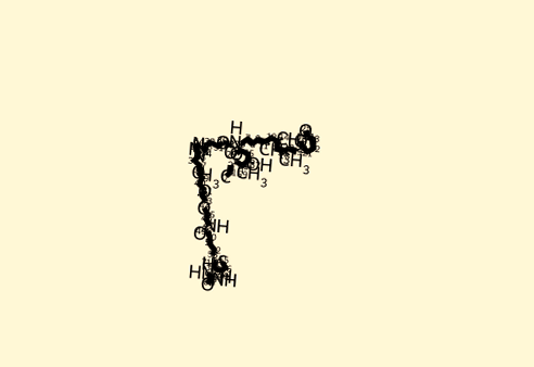 C/C=C/[C@@H]1O[C@H](C(/C=C/C=C(\C)C[C@@H](C)/C=C(C)\C=C\[C@H]2CC=CC(=O)O2)NC(=O)OCCc2cn(CCOCCOCCOCCNC(=O)CCCC[C@@H]3SC[C@@H]4NC(=O)N[C@@H]43)nn2)C[C@@H](O)[C@@H]1C